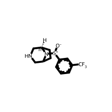 [O-][S+](c1cccc(C(F)(F)F)c1)N1C2CC[C@@H]1CNC2